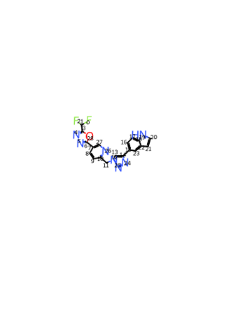 FC(F)c1nnc(-c2ccc(Cn3cc(-c4ccc5[nH]ccc5c4)nn3)nc2)o1